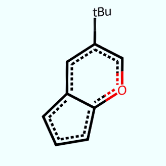 CC(C)(C)c1coc2cccc-2c1